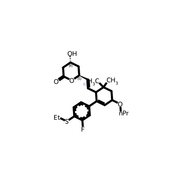 CCCOC1C=C(c2ccc(SCC)c(F)c2)C(/C=C/[C@@H]2C[C@@H](O)CC(=O)O2)C(C)(C)C1